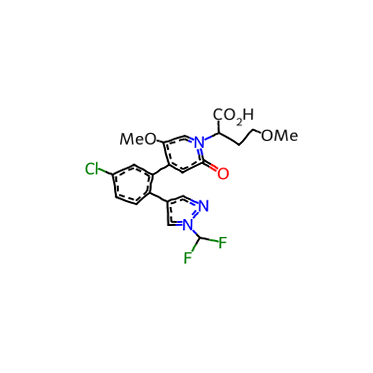 COCCC(C(=O)O)n1cc(OC)c(-c2cc(Cl)ccc2-c2cnn(C(F)F)c2)cc1=O